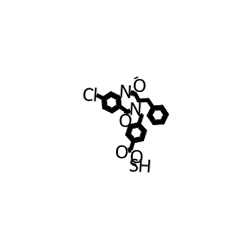 COC1=Nc2cc(Cl)ccc2C(=O)N(Cc2ccc(C(=O)OS)cc2)C1Cc1ccccc1